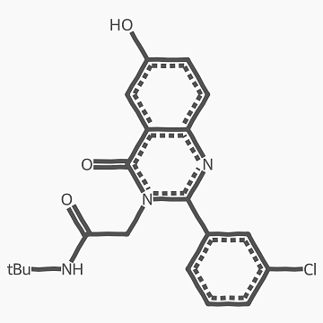 CC(C)(C)NC(=O)Cn1c(-c2cccc(Cl)c2)nc2ccc(O)cc2c1=O